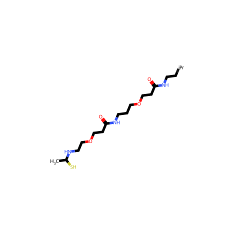 CC(C)CCNC(=O)CCOCCCNC(=O)CCOCCNC(C)S